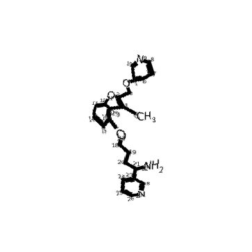 Cc1c(COc2cccnc2)oc2cccc(OCCCC(N)c3cccnc3)c12